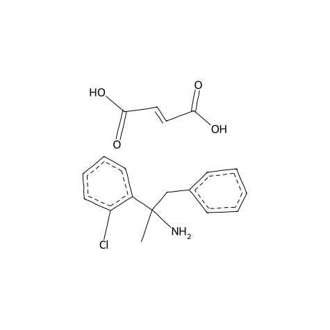 CC(N)(Cc1ccccc1)c1ccccc1Cl.O=C(O)/C=C/C(=O)O